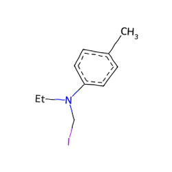 CCN(CI)c1ccc(C)cc1